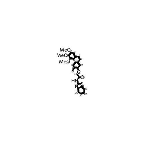 COc1cc(/C=C\c2ccc(C)c(OCC(=O)Nc3nc4ccccc4s3)c2)cc(OC)c1OC